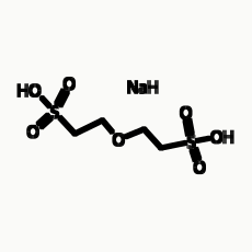 O=S(=O)(O)CCOCCS(=O)(=O)O.[NaH]